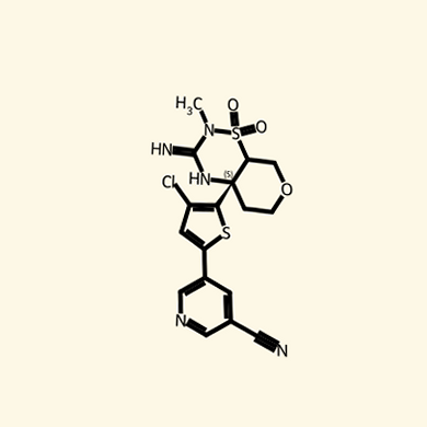 CN1C(=N)N[C@@]2(c3sc(-c4cncc(C#N)c4)cc3Cl)CCOCC2S1(=O)=O